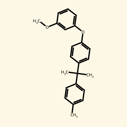 COc1cccc(Oc2ccc(C(C)(C)c3ccc(C)cc3)cc2)c1